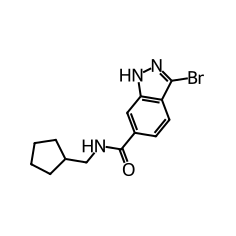 O=C(NCC1CCCC1)c1ccc2c(Br)n[nH]c2c1